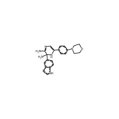 NC1=NC=C(c2ccc(N3CCOCC3)cc2)NC1(N)c1ccc2[nH]ccc2c1